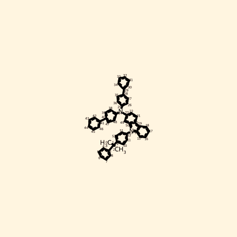 CC(C)(c1ccccc1)c1ccc(-n2c3ccccc3c3ccc(N(c4ccc(-c5ccccc5)cc4)c4ccc(-c5ccccc5)cc4)cc32)cc1